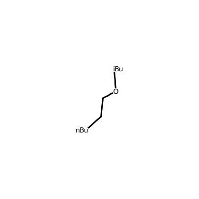 [CH2]C(CC)OCCCCCC